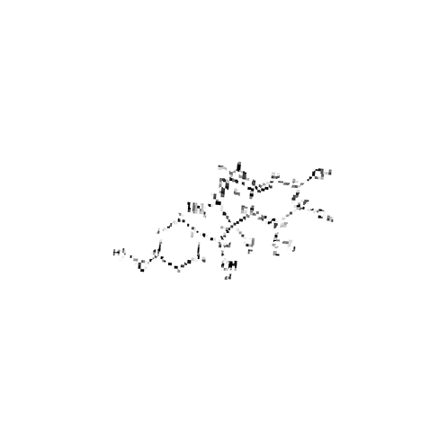 COC1CCC2(CC1)NC(=O)C(Cl)(c1c(C)cc(Cl)c(Cl)c1C)C2O